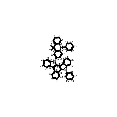 CC1(C)c2ccccc2N(c2ccccc2)c2ccc(-n3c4ccccc4c4c5ccccc5c5c(c6ccccc6n5-c5ccccc5)c43)cc21